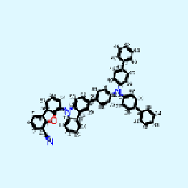 N#Cc1cccc2c1oc1c(-n3c4ccccc4c4cc(-c5ccc(N(c6ccc(-c7ccccc7)cc6)c6ccc(-c7ccccc7)cc6)cc5)ccc43)cccc12